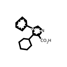 O=C(O)c1ncn(-c2ccccc2)c1C1CCCCC1